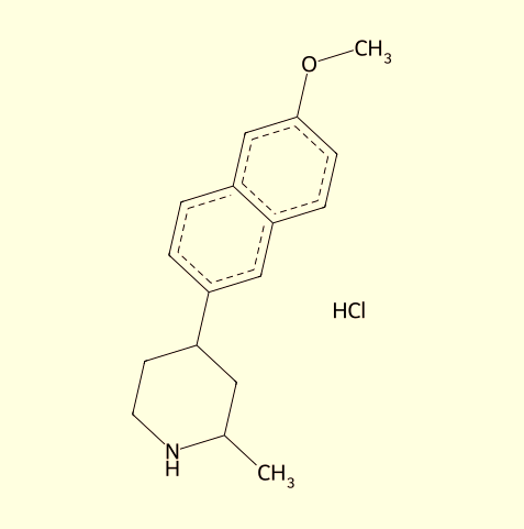 COc1ccc2cc(C3CCNC(C)C3)ccc2c1.Cl